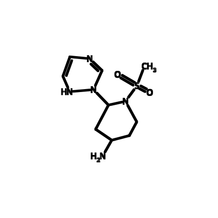 CS(=O)(=O)N1CCC(N)CC1N1C=NC=CN1